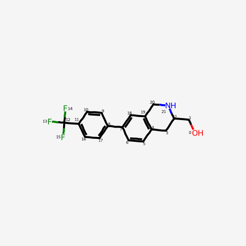 OCC1Cc2ccc(-c3ccc(C(F)(F)F)cc3)cc2CN1